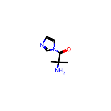 CC(C)(N)C(=O)n1ccnc1